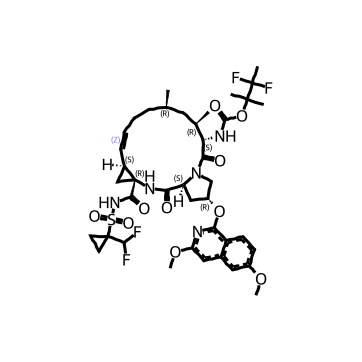 COc1ccc2c(O[C@@H]3C[C@H]4C(=O)N[C@]5(C(=O)NS(=O)(=O)C6(C(F)F)CC6)C[C@H]5/C=C\CC[C@@H](C)C[C@@H](C)[C@H](NC(=O)OC(C)(C)C(C)(F)F)C(=O)N4C3)nc(OC)cc2c1